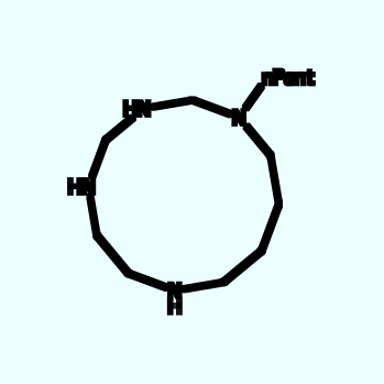 CCCCCN1CCCCNCCNCNC1